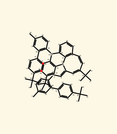 Cc1ccc(N/C=C2/C=C(C(C)(C)C)\C=C/c3cccc4c3B2c2cc(C(C)(C)C)ccc2N4c2ccc(C)cc2-c2ccc(C(C)(C)C)cc2)c(-c2ccc(C(C)(C)C)cc2)c1